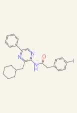 O=C(Cc1ccc(I)cc1)Nc1ncc(-c2ccccc2)nc1CC1CCCCC1